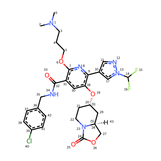 CN(C)CCCOc1nc(-c2cnn(C(F)F)c2)c(O[C@H]2CCN3C(=O)OC[C@@H]3C2)cc1C(=O)NCc1ccc(Cl)cc1